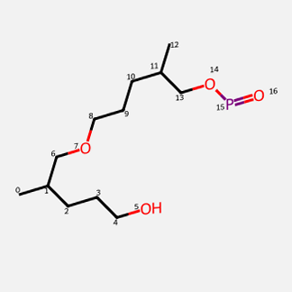 CC(CCCO)COCCCC(C)COP=O